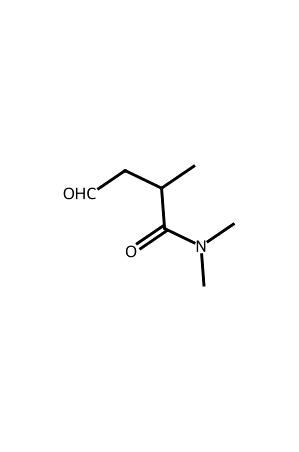 CC(CC=O)C(=O)N(C)C